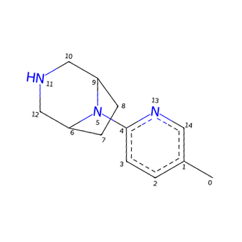 Cc1ccc(N2C3CCC2CNC3)nc1